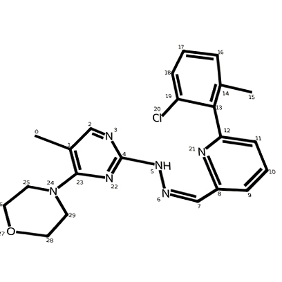 Cc1cnc(N/N=C\c2cccc(-c3c(C)cccc3Cl)n2)nc1N1CCOCC1